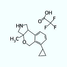 CC12CNCC1c1cccc(C3CC3)c1CO2.O=C(O)C(F)(F)F